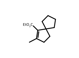 CCOC(=O)C1=C(C)CCC12CCCC2